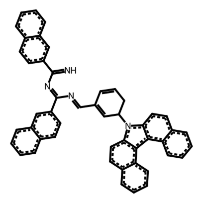 N=C(/N=C(\N=C\C1=CC(n2c3ccc4ccccc4c3c3c4ccccc4ccc32)CC=C1)c1ccc2ccccc2c1)c1ccc2ccccc2c1